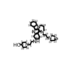 OC1CCN(CCNC2CCc3c(nc4c5c3N(CCCN3CCOCC3)CCCN5C3CCCCC43)C2)CC1